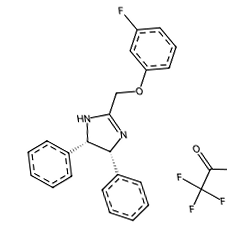 Fc1cccc(OCC2=N[C@H](c3ccccc3)[C@H](c3ccccc3)N2)c1.O=C(O)C(F)(F)F